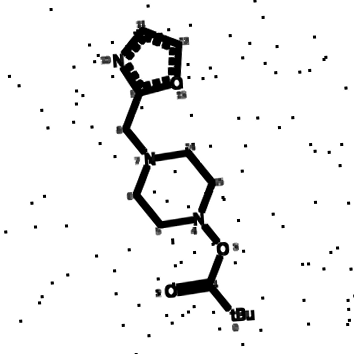 CC(C)(C)C(=O)ON1CCN(Cc2ncco2)CC1